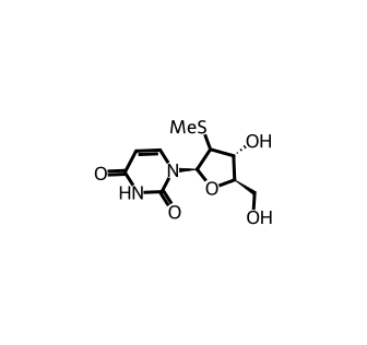 CSC1[C@H](n2ccc(=O)[nH]c2=O)O[C@H](CO)[C@H]1O